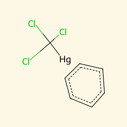 Cl[C](Cl)(Cl)[Hg].c1ccccc1